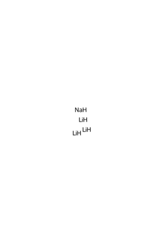 [LiH].[LiH].[LiH].[NaH]